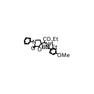 CCOC(=O)C(NNc1ccc(OC)cc1)C1(C(=O)OCC)CCN(c2ccccc2)C(=O)C1=O